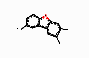 Cc1ccc2oc3cc(C)c(C)cc3c2c1